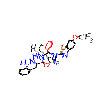 CC(C)(NC(=O)C(N)Cc1ccccc1)C(=O)Nc1nc2ccc(OC(F)(F)F)cc2s1